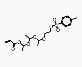 C=CC(=O)OC(C)OC(C)OC(C)OCCOS(=O)(=O)c1ccc(C)cc1